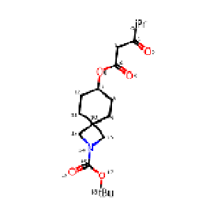 CC(C)C(=O)CC(=O)OC1CCC2(CC1)CN(C(=O)OC(C)(C)C)C2